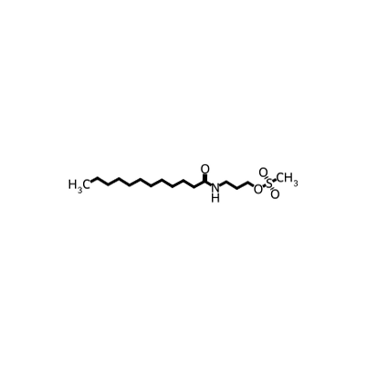 CCCCCCCCCCCC(=O)NCCCOS(C)(=O)=O